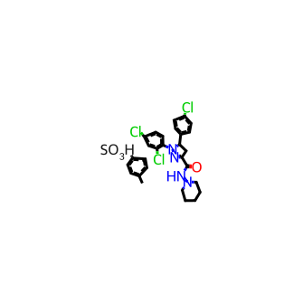 Cc1ccc(S(=O)(=O)O)cc1.O=C(NN1CCCCC1)C1=NN(c2ccc(Cl)cc2Cl)C(c2ccc(Cl)cc2)C1